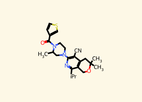 CC(C)c1nc(N2CCN(C(=O)c3ccsc3)C(C)C2)c(C#N)c2c1COC(C)(C)C2